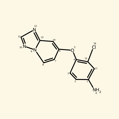 Nc1ccc(Oc2ccn3ncnc3c2)c(Cl)c1